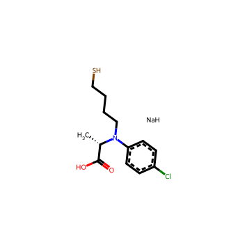 C[C@@H](C(=O)O)N(CCCCS)c1ccc(Cl)cc1.[NaH]